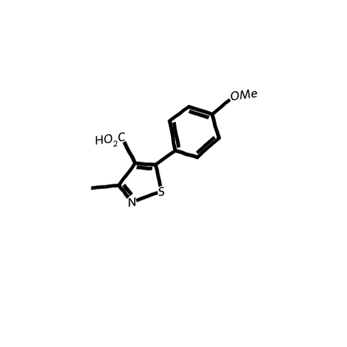 COc1ccc(-c2snc(C)c2C(=O)O)cc1